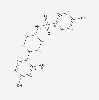 O=S(=O)(NC1CCC(c2ccc(O)cc2O)CC1)c1ccc(F)cc1